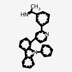 CC(=N)c1cccc(-c2cc(-c3cccc4c5ccccc5n(-c5ccccc5)c34)ccn2)c1